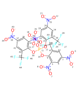 O=[N+]([O-])c1cc([N+](=O)[O-])c(OP(=O)(Oc2c([N+](=O)[O-])cc([N+](=O)[O-])cc2C(F)(F)F)Oc2c([N+](=O)[O-])cc([N+](=O)[O-])cc2C(F)(F)F)c(C(F)(F)F)c1